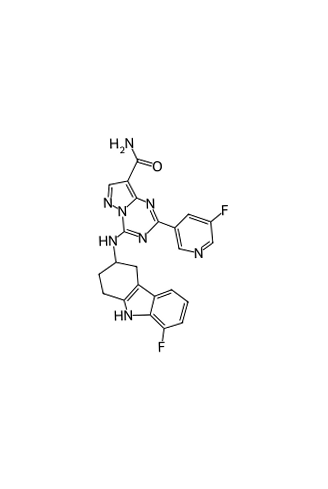 NC(=O)c1cnn2c(NC3CCc4[nH]c5c(F)cccc5c4C3)nc(-c3cncc(F)c3)nc12